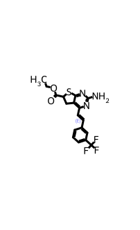 CCOC(=O)C1Cc2c(/C=C/c3cccc(C(F)(F)F)c3)nc(N)nc2S1